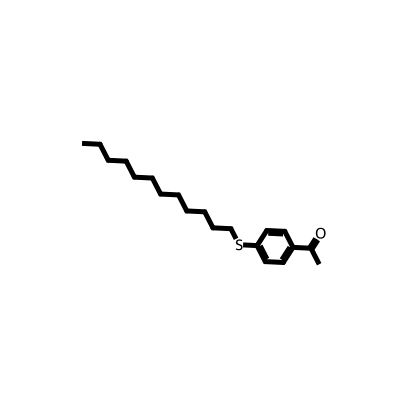 CCCCCCCCCCCCSc1ccc(C(C)=O)cc1